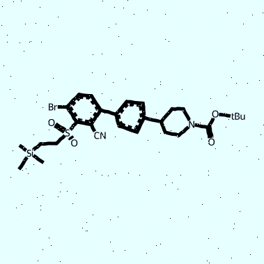 CC(C)(C)OC(=O)N1CCC(c2ccc(-c3ccc(Br)c(S(=O)(=O)CC[Si](C)(C)C)c3C#N)cc2)CC1